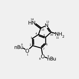 CCCCOc1cc2c(cc1OCCCC)C(N)=NC2=N